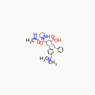 CNC(=O)[C@@H]1CCCNN1C(=O)C(CCc1ccc(CN(C)C)cc1)CC(CCCc1ccccc1)C(=O)O